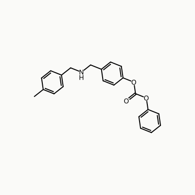 Cc1ccc(CNCc2ccc(OC(=O)Oc3ccccc3)cc2)cc1